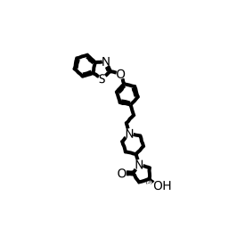 O=C1C[C@H](O)CN1C1CCN(CCc2ccc(Oc3nc4ccccc4s3)cc2)CC1